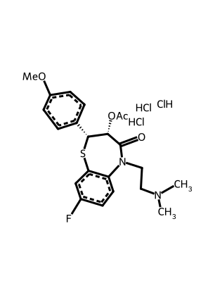 COc1ccc([C@H]2Sc3cc(F)ccc3N(CCN(C)C)C(=O)[C@H]2OC(C)=O)cc1.Cl.Cl.Cl